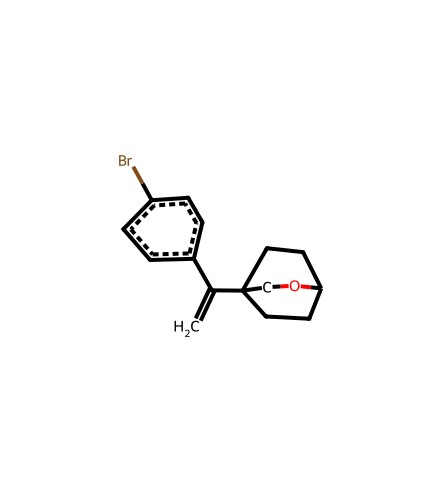 C=C(c1ccc(Br)cc1)C12CCC(CC1)OC2